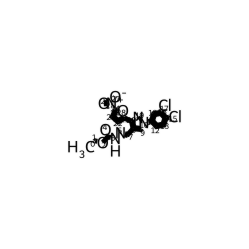 CCOC(=O)NN=Cc1cn(-c2ccc(Cl)c(Cl)c2)nc1-c1ccc([N+](=O)[O-])o1